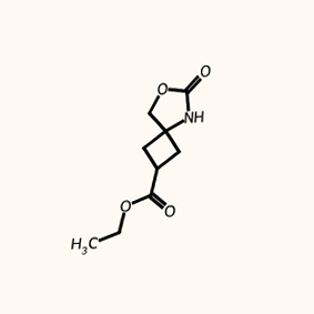 CCOC(=O)C1CC2(COC(=O)N2)C1